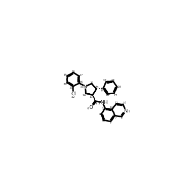 O=C(Nc1cccc2cnccc12)[C@H]1CN(c2ccccc2Cl)C[C@@H]1c1ccccc1